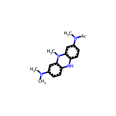 CC(=O)N(C)c1ccc2c(c1)N(C)c1cc(N(C)C)ccc1N2